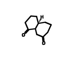 O=C1CCC[C@@H]2CCCC(=O)C2C1